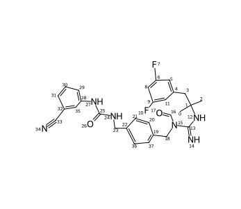 CC(C)(Cc1cc(F)cc(F)c1)NC(=N)N(C=O)Cc1ccc(CNC(=O)Nc2cccc(C#N)c2)cc1